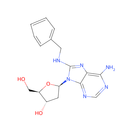 Nc1ncnc2c1nc(NCc1ccccc1)n2[C@H]1C[C@H](O)[C@@H](CO)O1